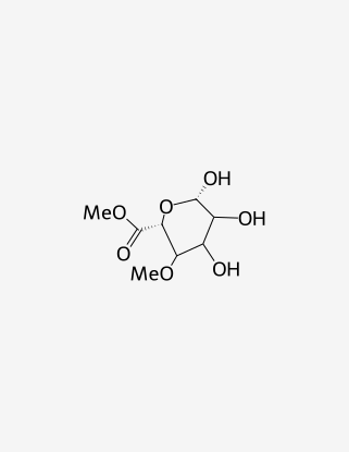 COC(=O)[C@@H]1O[C@H](O)C(O)C(O)C1OC